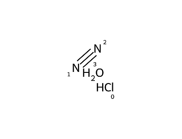 Cl.N#N.O